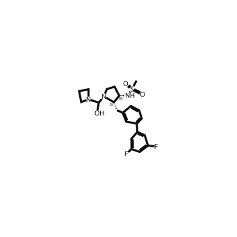 CS(=O)(=O)N[C@H]1CCN(C(O)N2CCC2)[C@H]1Cc1cccc(-c2cc(F)cc(F)c2)c1